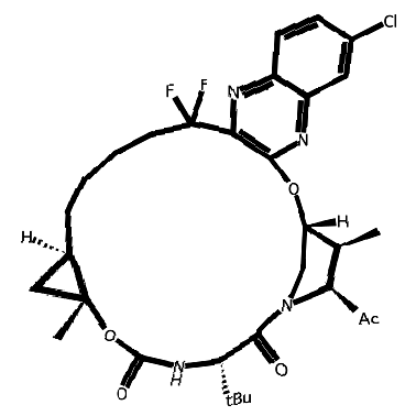 CC(=O)[C@@H]1[C@H](C)[C@@H]2CN1C(=O)[C@H](C(C)(C)C)NC(=O)O[C@]1(C)C[C@H]1CCCCC(F)(F)c1nc3ccc(Cl)cc3nc1O2